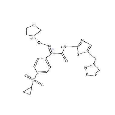 O=C(Nc1ncc(Cn2cccn2)s1)/C(=N/O[C@@H]1CCOC1)c1ccc(S(=O)(=O)C2CC2)cc1